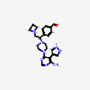 Nc1ncnc(N2CCN(C(CN3CCC3)c3ccc(C=O)cc3)CC2)c1-c1cn[nH]c1